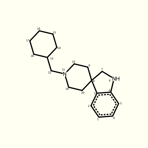 c1ccc2c(c1)NCC21CCN(CC2CCCCC2)CC1